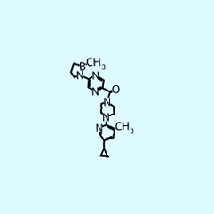 CB1CCCN1c1cnc(C(=O)N2CCN(c3ncc(C4CC4)cc3C)CC2)cn1